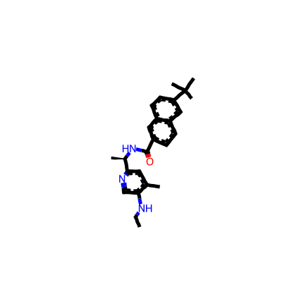 CCNc1cnc([C@@H](C)NC(=O)c2ccc3cc(C(C)(C)C)ccc3c2)cc1C